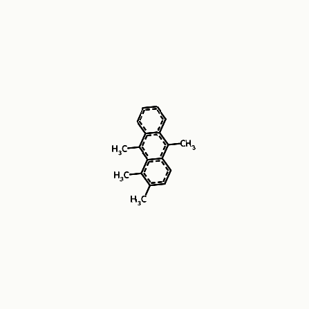 Cc1ccc2c(C)c3ccccc3c(C)c2c1C